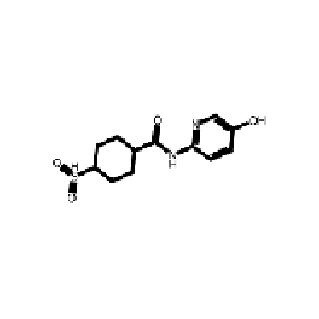 O=C(Nc1ccc(O)cn1)C1CCC([SH](=O)=O)CC1